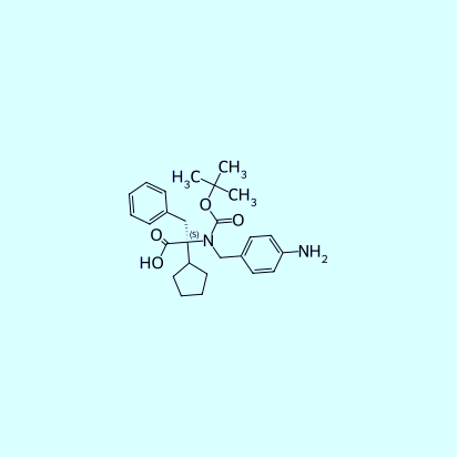 CC(C)(C)OC(=O)N(Cc1ccc(N)cc1)[C@](Cc1ccccc1)(C(=O)O)C1CCCC1